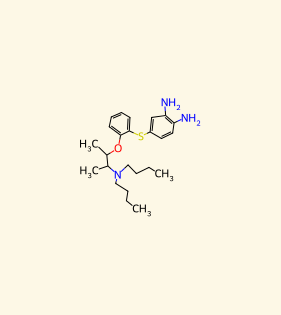 CCCCN(CCCC)C(C)C(C)Oc1ccccc1Sc1ccc(N)c(N)c1